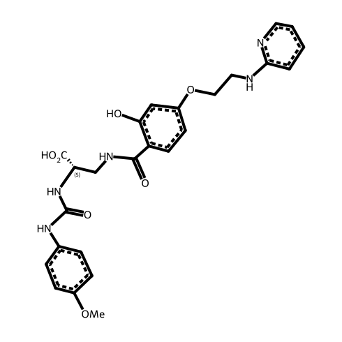 COc1ccc(NC(=O)N[C@@H](CNC(=O)c2ccc(OCCNc3ccccn3)cc2O)C(=O)O)cc1